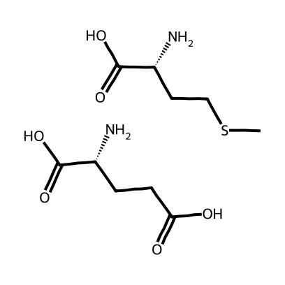 CSCC[C@@H](N)C(=O)O.N[C@H](CCC(=O)O)C(=O)O